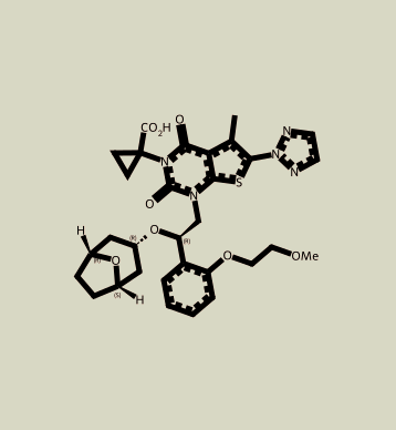 COCCOc1ccccc1[C@H](Cn1c(=O)n(C2(C(=O)O)CC2)c(=O)c2c(C)c(-n3nccn3)sc21)O[C@H]1C[C@H]2CC[C@@H](C1)O2